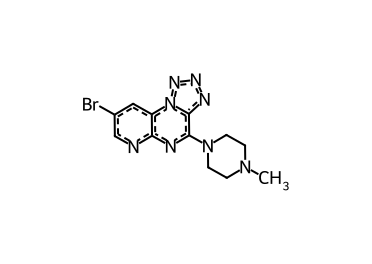 CN1CCN(c2nc3ncc(Br)cc3n3nnnc23)CC1